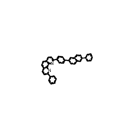 c1ccc(-c2ccc3cc(-c4ccc(-c5ccc6ccc7ccc(-c8ccccc8)nc7c6n5)cc4)ccc3c2)cc1